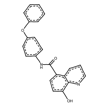 O=C(Nc1ccc(Oc2ccccc2)cc1)c1ccc(O)c2ncccc12